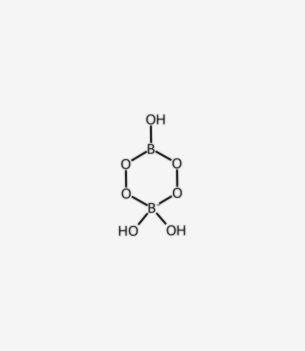 OB1OO[B-](O)(O)OO1